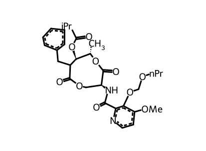 CCCOCOc1c(OC)ccnc1C(=O)N[C@H]1COC(=O)C(Cc2ccccc2)[C@@H](OC(=O)C(C)C)[C@H](C)OC1=O